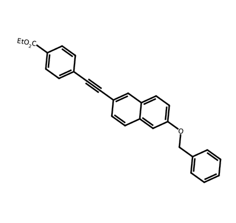 CCOC(=O)c1ccc(C#Cc2ccc3cc(OCc4ccccc4)ccc3c2)cc1